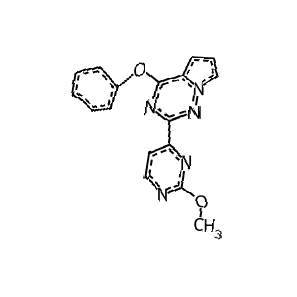 COc1nccc(-c2nc(Oc3ccccc3)c3cccn3n2)n1